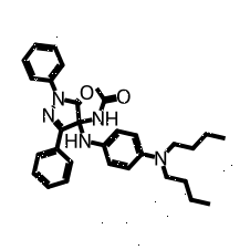 CCCCN(CCCC)c1ccc(NC2(NC(C)=O)C(=O)N(c3ccccc3)N=C2c2ccccc2)cc1